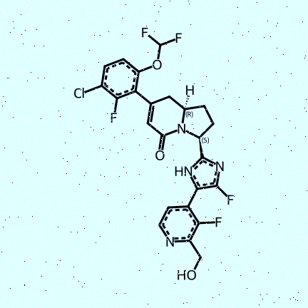 O=C1C=C(c2c(OC(F)F)ccc(Cl)c2F)C[C@H]2CC[C@@H](c3nc(F)c(-c4ccnc(CO)c4F)[nH]3)N12